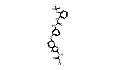 COC(=O)Nc1nc2cc(Oc3cccc(NC(=O)Nc4ccccc4OC(F)(F)F)c3)ccc2[nH]1